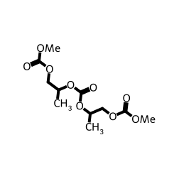 COC(=O)OCC(C)OC(=O)OC(C)COC(=O)OC